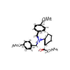 COC(=O)[C@H]1CCC[C@@H]1N(Cc1ccc(OC)cc1)Cc1ccc(OC)cc1